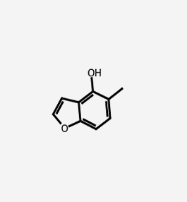 Cc1ccc2occc2c1O